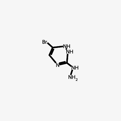 NNC1=NC=C(Br)NN1